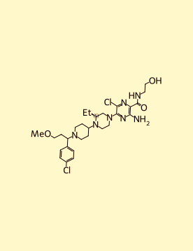 CC[C@H]1CN(c2nc(N)c(C(=O)NCCO)nc2Cl)CCN1C1CCN(C(CCOC)c2ccc(Cl)cc2)CC1